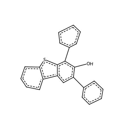 Oc1c(-c2ccccc2)cc2c(sc3ccccc32)c1-c1ccccc1